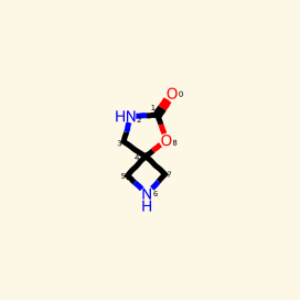 O=C1NCC2([CH]NC2)O1